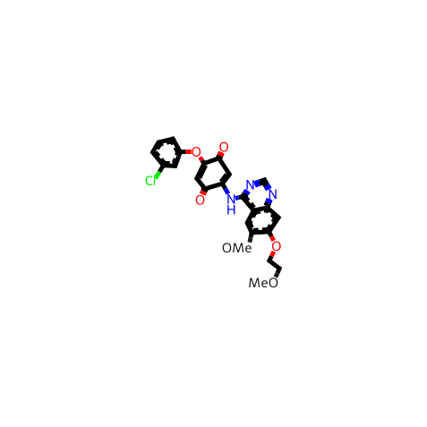 COCCOc1cc2ncnc(NC3=CC(=O)C(Oc4cccc(Cl)c4)=CC3=O)c2cc1OC